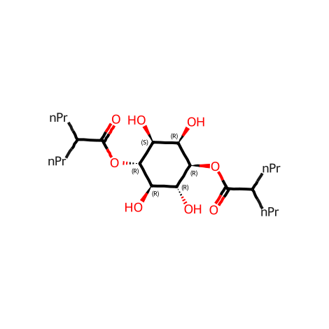 CCCC(CCC)C(=O)O[C@H]1[C@H](O)[C@@H](O)[C@H](OC(=O)C(CCC)CCC)[C@@H](O)[C@H]1O